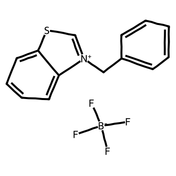 F[B-](F)(F)F.c1ccc(C[n+]2csc3ccccc32)cc1